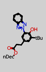 CCCCCCCCCCOC(=O)CCc1cc(-n2nc3ccccc3n2)c(O)c(C(C)(C)C)c1